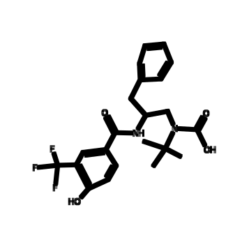 CC(C)(C)N(CC(Cc1ccccc1)NC(=O)c1ccc(O)c(C(F)(F)F)c1)C(=O)O